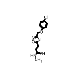 CNC(=P)CCc1nc(COc2ccc(Cl)cc2)no1